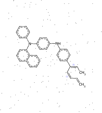 C=C/C=C\C(=C/C)c1ccc(Nc2ccc(N(c3ccccc3)c3cccc4ccccc34)cc2)cc1